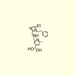 CCc1cnc(CNCc2cc(C(O)O)cc(C)n2)n1CCc1ccccc1